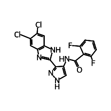 O=C(Nc1c[nH]nc1-c1nc2cc(Cl)c(Cl)cc2[nH]1)c1c(F)cccc1F